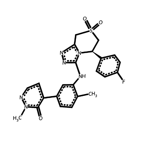 Cc1ccc(-c2ccnn(C)c2=O)cc1Nc1nnc2n1[C@H](c1ccc(F)cc1)CS(=O)(=O)C2